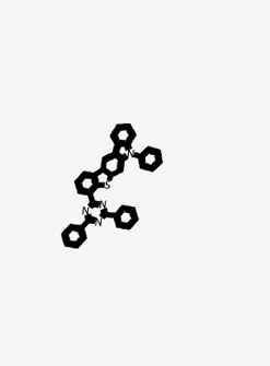 C1=c2c(n(-c3ccccc3)c3ccccc23)=CC2Sc3c(-c4nc(-c5ccccc5)nc(-c5ccccc5)n4)cccc3C12